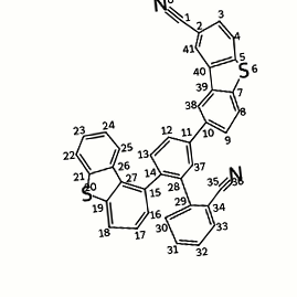 N#Cc1ccc2sc3ccc(-c4ccc(-c5cccc6sc7ccccc7c56)c(-c5ccccc5C#N)c4)cc3c2c1